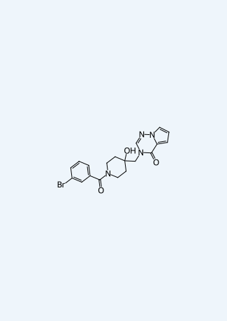 O=C(c1cccc(Br)c1)N1CCC(O)(Cn2cnn3cccc3c2=O)CC1